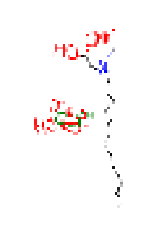 CCCCCCCCCCCCCN(C)CC(O)O.[O-][Cl+3]([O-])([O-])O